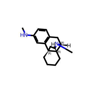 CNc1ccc2c(c1)[C@@]13CCCC[C@H]1[C@@H](C2)N(C)CC3